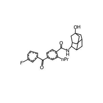 CCCc1cc(C(=O)c2cccc(F)c2)ccc1C(=O)NC1C2CC3CC1CC(O)(C3)C2